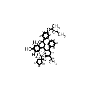 CCOC(C)Oc1ccc(C(C)CC(CC(CC(CC)C(=O)OC2(CC)CCCC2)c2ccccc2)c2ccc(O)cc2)cc1